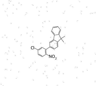 CC1(C)c2ccccc2-c2cc(-c3cc(Cl)ccc3[N+](=O)[O-])ccc21